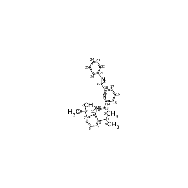 CC(C)c1cccc(C(C)C)c1N=Cc1cccc(C=Nc2ccccc2)n1